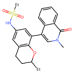 CCC1CCc2cc(NS(=O)(=O)CC)cc(-c3cn(C)c(=O)c4ccccc34)c2O1